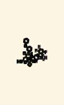 O=C(O)CC(NC(=O)C1(C(=O)NC(CCO)C(=O)Nc2cccc(Oc3ccccc3)c2)CCC1)C(=O)COc1c(F)c(F)cc(F)c1F